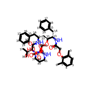 Cc1cccc(C)c1OCC(=O)N[C@@H](Cc1ccccc1)[C@H](C[C@@H](Cc1ccccc1)NC(=O)[C@H](C(C)C)N1CCCNC1=O)OCOP(=O)(O)O